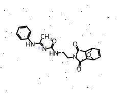 C/C(=N\C(=O)NCCN1C(=O)C2C3C=CC(O3)C2C1=O)Nc1ccccc1